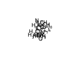 [2H]C1(C(=O)O)N(c2ccccc2OC(C)(C)C)C1(c1ccc(C#N)cc1)C(C)(C)C